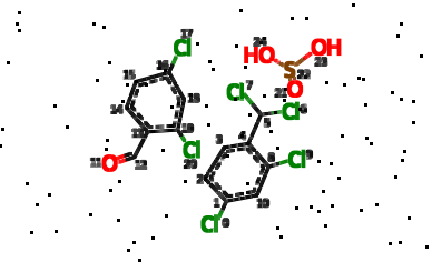 Clc1ccc(C(Cl)Cl)c(Cl)c1.O=Cc1ccc(Cl)cc1Cl.O=S(O)O